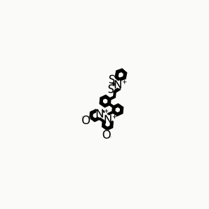 COc1cc[n+](C)c(-c2cc(OC)cc[n+]2Cc2ccccc2-c2ccccc2Cc2c[n+]3c(s2)sc2ccccc23)c1